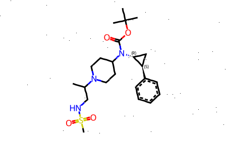 CC(CNS(C)(=O)=O)N1CCC(N(C(=O)OC(C)(C)C)[C@@H]2C[C@H]2c2ccccc2)CC1